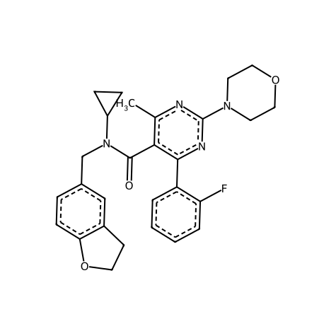 Cc1nc(N2CCOCC2)nc(-c2ccccc2F)c1C(=O)N(Cc1ccc2c(c1)CCO2)C1CC1